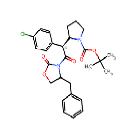 CC(C)(C)OC(=O)N1CCCC1[C@@H](C(=O)N1C(=O)OCC1Cc1ccccc1)c1ccc(Cl)cc1